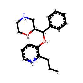 CCCc1ncccc1OC(c1ccccc1)C1CNCCO1